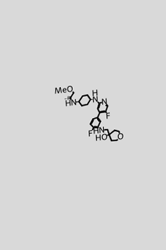 COC[C@@H](C)N[C@H]1CC[C@H](Nc2cc(-c3ccc(F)c(NCC4(O)CCOCC4)c3)c(F)cn2)CC1